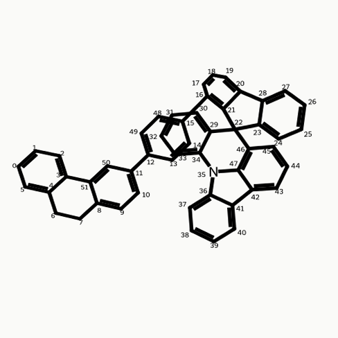 c1ccc2c(c1)CCc1ccc(-c3ccc(-c4cccc5c4C4(c6ccccc6-5)c5ccccc5-n5c6ccccc6c6cccc4c65)cc3)cc1-2